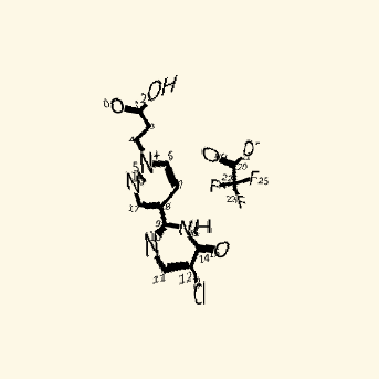 O=C(O)CC[n+]1ccc(-c2ncc(Cl)c(=O)[nH]2)cn1.O=C([O-])C(F)(F)F